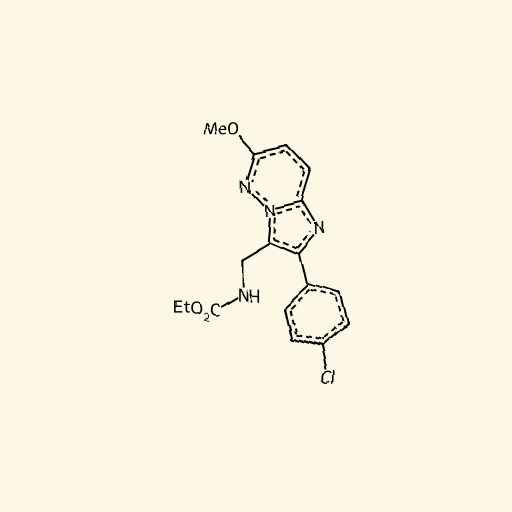 CCOC(=O)NCc1c(-c2ccc(Cl)cc2)nc2ccc(OC)nn12